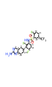 Nc1ncc2cc(-c3c(F)ccc(NS(=O)(=O)c4cc(C(F)(F)F)ccc4F)c3F)ccc2n1